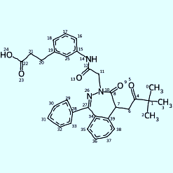 CC(C)(C)C(=O)CC1C(=O)N(CC(=O)Nc2cccc(CCC(=O)O)c2)N=C(c2ccccc2)c2ccccc21